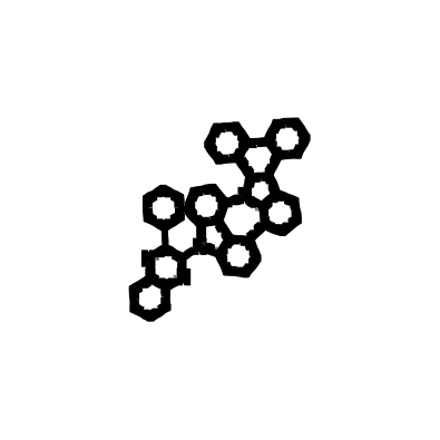 c1ccc(-c2nc3ccccc3nc2-n2c3cccc4c5cccc6c7c8ccccc8c8ccccc8c7n(c7cccc2c7c43)c56)cc1